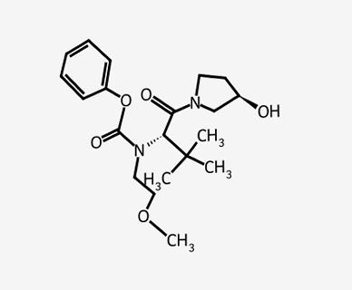 COCCN(C(=O)Oc1ccccc1)[C@H](C(=O)N1CC[C@@H](O)C1)C(C)(C)C